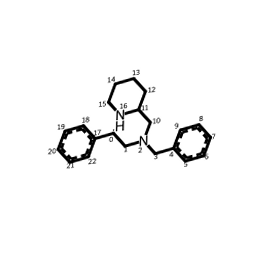 [CH](CN(Cc1ccccc1)CC1CCCCN1)c1ccccc1